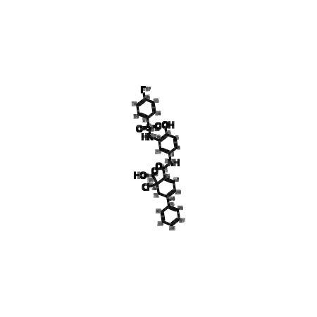 O=C(Nc1ccc(O)c(NS(=O)(=O)c2ccc(F)cc2)c1)C1=CC=C(c2ccccc2)CC1(Cl)C(=O)O